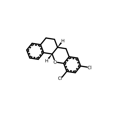 Clc1cc(Cl)c2c(c1)C[C@H]1CCc3ccccc3[C@H]1O2